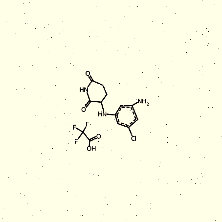 Nc1cc(Cl)cc(NC2CCC(=O)NC2=O)c1.O=C(O)C(F)(F)F